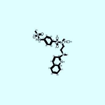 CN(CCN(C)S(=O)(=O)c1ccc(NS(C)(=O)=O)cc1)c1ccc2ccccc2n1.Cl